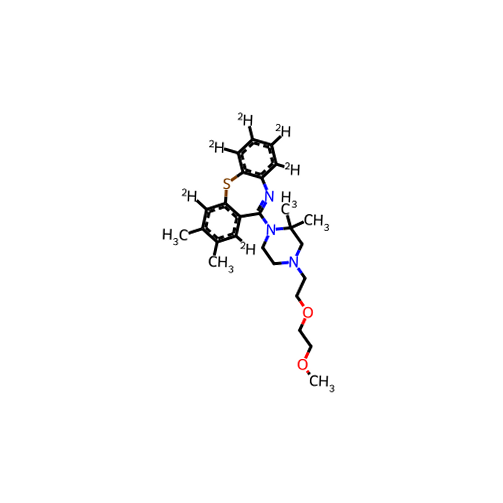 [2H]c1c([2H])c([2H])c2c(c1[2H])N=C(N1CCN(CCOCCOC)CC1(C)C)c1c([2H])c(C)c(C)c([2H])c1S2